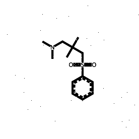 CN(C)CC(C)(C)CS(=O)(=O)c1cc[c]cc1